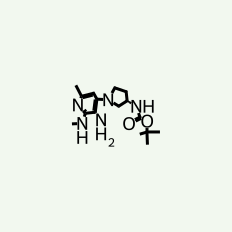 CNc1nc(C)cc(N2CC[C@@H](NC(=O)OC(C)(C)C)C2)c1N